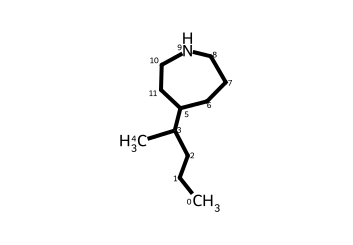 CCCC(C)C1CCCNCC1